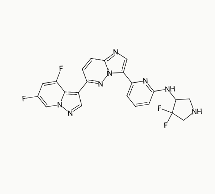 Fc1cc(F)c2c(-c3ccc4ncc(-c5cccc(NC6CNCC6(F)F)n5)n4n3)cnn2c1